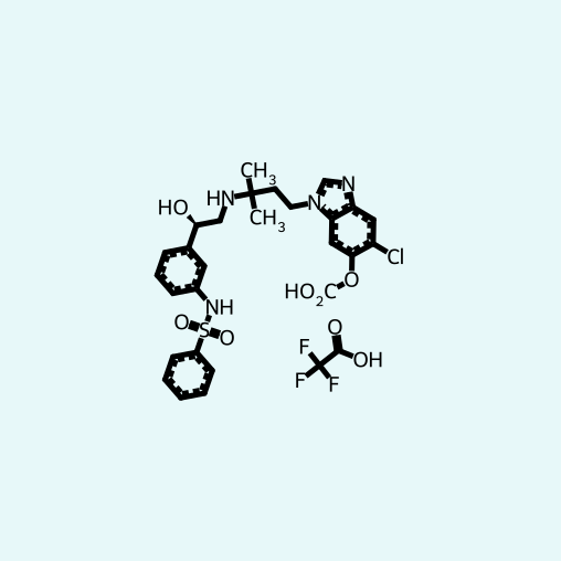 CC(C)(CCn1cnc2cc(Cl)c(OC(=O)O)cc21)NC[C@H](O)c1cccc(NS(=O)(=O)c2ccccc2)c1.O=C(O)C(F)(F)F